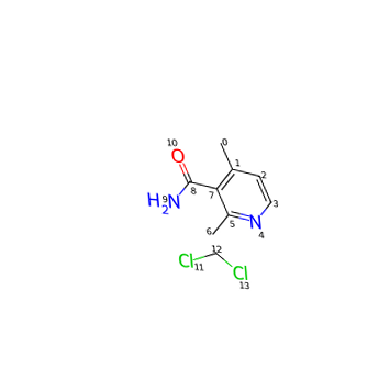 Cc1ccnc(C)c1C(N)=O.ClCCl